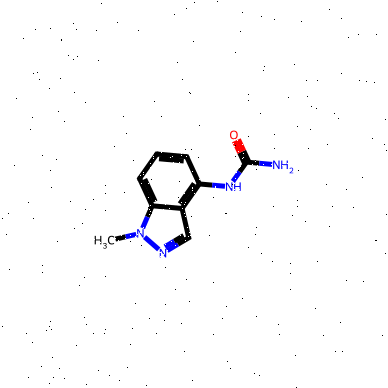 Cn1ncc2c(NC(N)=O)cccc21